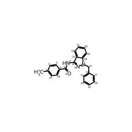 Cc1ccc(C(=O)Nc2nn(Cc3ccccc3)c3ccccc23)cc1